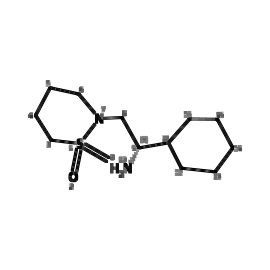 C=S1(=O)CCCCN1C[C@@H](N)C1CCCCC1